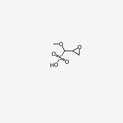 COC(C1CO1)S(=O)(=O)O